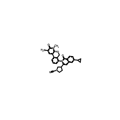 Cn1cc(-c2cccc(-n3c(C4CCN(C#N)C4)cc4cc(C5CC5)ccc4c3=O)c2CO)cc(N)c1=O